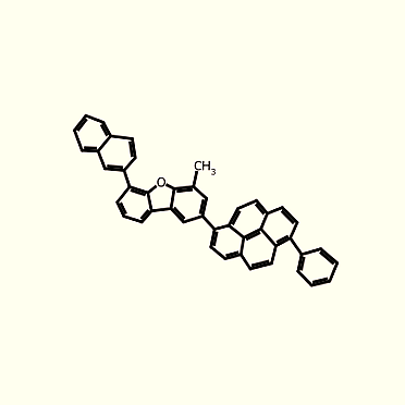 Cc1cc(-c2ccc3ccc4c(-c5ccccc5)ccc5ccc2c3c54)cc2c1oc1c(-c3ccc4ccccc4c3)cccc12